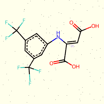 O=C(O)/C=C(\Nc1cc(C(F)(F)F)cc(C(F)(F)F)c1)C(=O)O